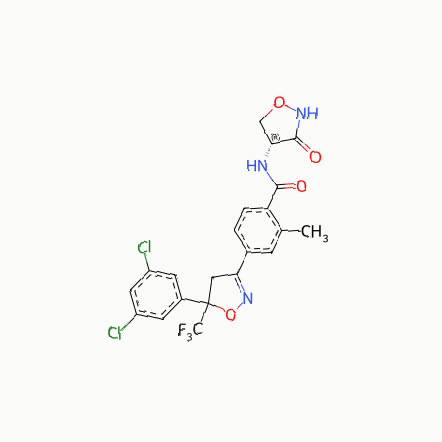 Cc1cc(C2=NOC(c3cc(Cl)cc(Cl)c3)(C(F)(F)F)C2)ccc1C(=O)N[C@@H]1CONC1=O